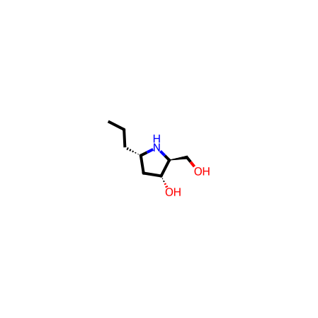 CCC[C@H]1C[C@@H](O)[C@H](CO)N1